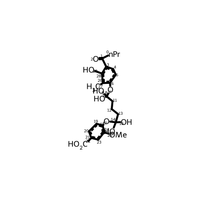 CCCC(=O)c1ccc(OC(O)(O)CCCC(O)(O)Oc2ccc(C(=O)O)cc2OC)c(C)c1O